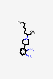 CCCCCC(CC)N1CCC(c2cccc(N)c2N)CC1